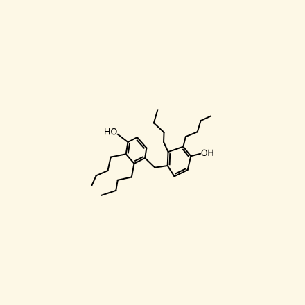 CCCCc1c(O)ccc(Cc2ccc(O)c(CCCC)c2CCCC)c1CCCC